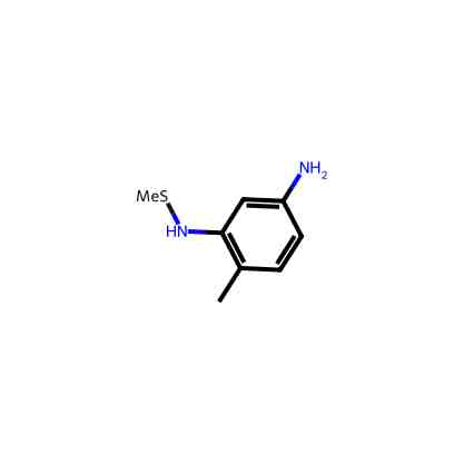 CSNc1cc(N)ccc1C